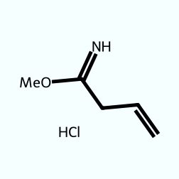 C=CCC(=N)OC.Cl